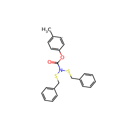 Cc1[c]cc(OC(=O)N(SCc2ccccc2)SCc2ccccc2)cc1